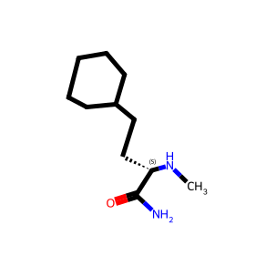 CN[C@@H](CCC1CCCCC1)C(N)=O